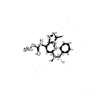 Cc1nnc2c(NC(=O)OC(C)(C)C)cc(N(C)[C@@H](C)c3ccccc3)nn12